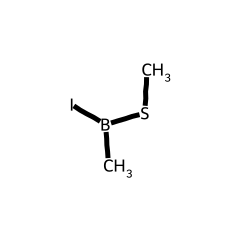 CSB(C)I